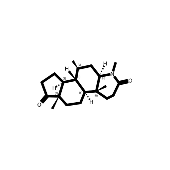 C[C@H]1C[C@H]2N(C)C(=O)CC[C@]2(C)[C@H]2CC[C@]3(C)C(=O)CC[C@H]3[C@H]12